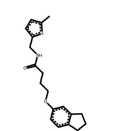 Cc1ccc(CNC(=O)CCCOc2ccc3c(c2)CCC3)s1